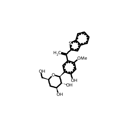 C=C(c1cc2ccccc2s1)c1cc([C@@H]2O[C@H](CO)C[C@H](O)[C@H]2O)c(O)cc1OC